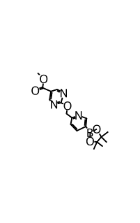 COC(=O)c1cnc(OCc2ccc(B3OC(C)(C)C(C)(C)O3)cn2)nc1